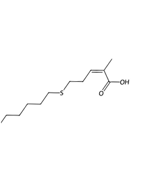 CCCCCCSCCC=C(C)C(=O)O